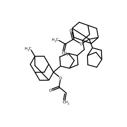 C=CC(=O)OC1(C2CC3CC2CC3CC23CC4CC(C2)C(OC(=O)C(=C)C)(C2CC5CCC2C5)C(C4)C3)C2CC3CC1CC(C)(C3)C2